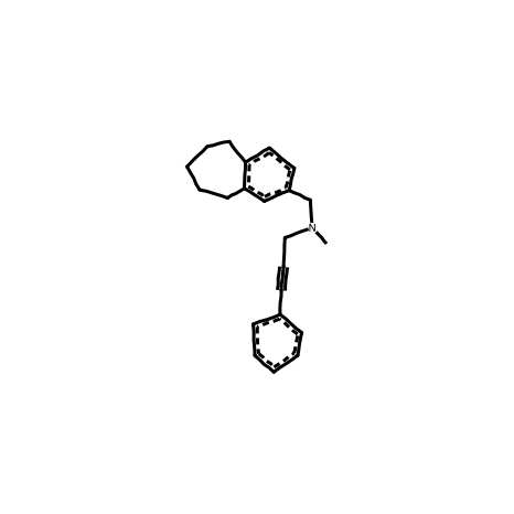 CN(CC#Cc1ccccc1)Cc1ccc2c(c1)CCCCC2